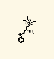 CCO[Si](CCC(N)CCNc1ccccc1)(OCC)OCC